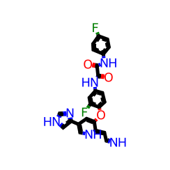 N=C/C=C1\NC=C(c2c[nH]cn2)C=C1Oc1ccc(NC(=O)C(=O)Nc2ccc(F)cc2)cc1F